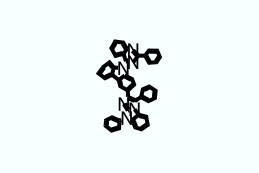 c1ccc(-c2nc(-n3c4ccccc4c4cc(-c5nc6n(-c7ccccc7)c7ccccc7n6c5-c5ccccc5)ccc43)c3ccccc3n2)cc1